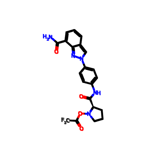 NC(=O)c1cccc2cn(-c3ccc(NC(=O)[C@H]4CCCN4OC(=O)C(F)(F)F)cc3)nc12